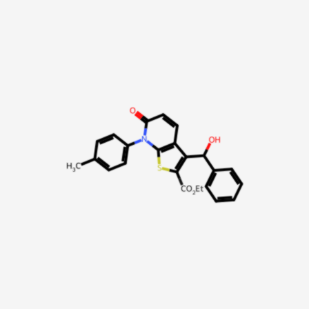 CCOC(=O)c1sc2c(ccc(=O)n2-c2ccc(C)cc2)c1C(O)c1ccccc1